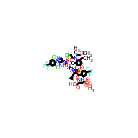 CCc1cccc(C)c1N(C(=O)CCl)C(C)COC.CP(=O)(O)CCC(N)C(=O)O.CS(=O)(=O)c1cc(C(F)(F)F)ccc1C(=O)c1cnoc1C1CC1.Nc1c([N+](=O)[O-])cnn1-c1c(Cl)cc(C(F)(F)F)cc1Cl